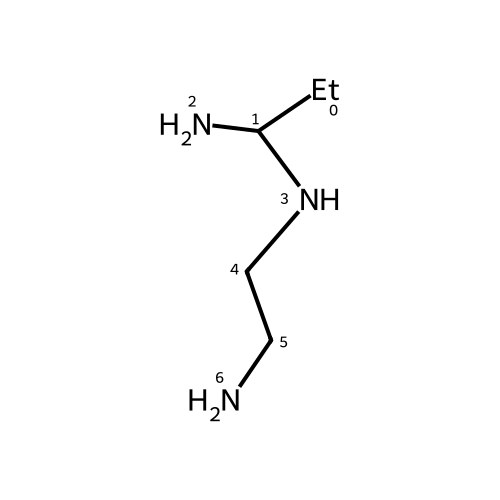 CCC(N)NCCN